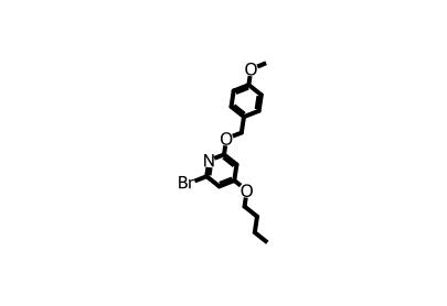 CCCCOc1cc(Br)nc(OCc2ccc(OC)cc2)c1